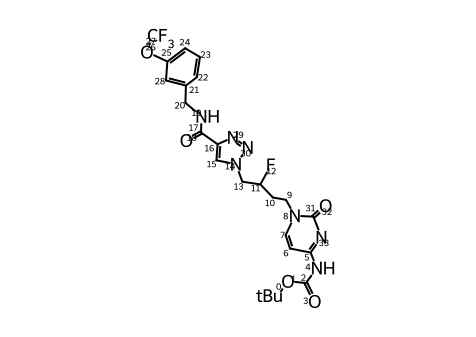 CC(C)(C)OC(=O)Nc1ccn(CCC(F)Cn2cc(C(=O)NCc3cccc(OC(F)(F)F)c3)nn2)c(=O)n1